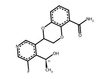 C[C@H](O)c1c(F)cncc1C1COc2c(cccc2C(N)=O)O1